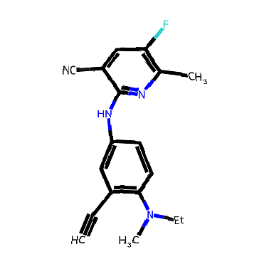 C#Cc1cc(Nc2nc(C)c(F)cc2C#N)ccc1N(C)CC